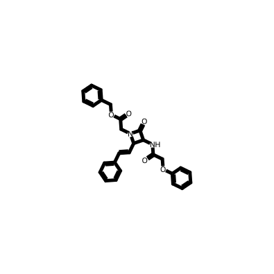 O=C(COc1ccccc1)NC1C(=O)N(CC(=O)OCc2ccccc2)C1C=Cc1ccccc1